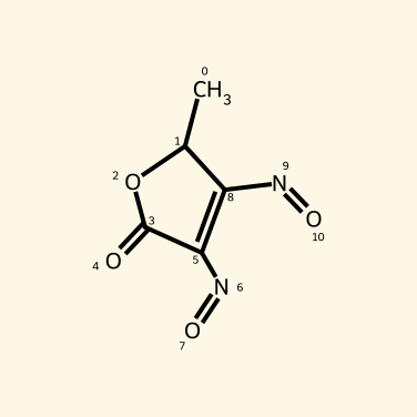 CC1OC(=O)C(N=O)=C1N=O